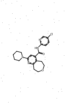 O=C(Nc1ccc(Cl)cn1)c1cc(N2CCCCC2)nc2c1CCOCC2